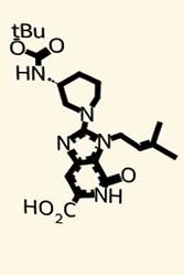 CC(C)=CCn1c(N2CCC[C@@H](NC(=O)OC(C)(C)C)C2)nc2cc(C(=O)O)[nH]c(=O)c21